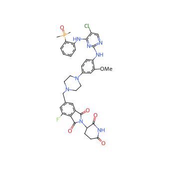 COc1cc(N2CCN(Cc3cc(F)c4c(c3)C(=O)N(C3CCC(=O)NC3=O)C4=O)CC2)ccc1Nc1ncc(Cl)c(Nc2ccccc2P(C)(C)=O)n1